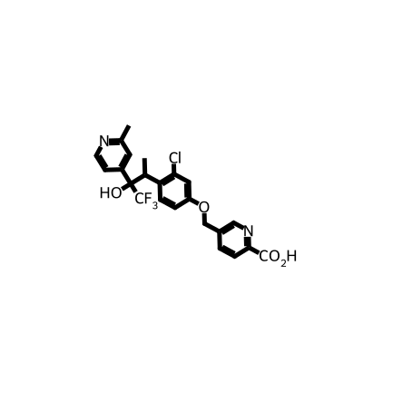 Cc1cc(C(O)(C(C)c2ccc(OCc3ccc(C(=O)O)nc3)cc2Cl)C(F)(F)F)ccn1